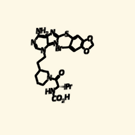 CC(C)[C@H](NC(=O)O)C(=O)N1CCCC(CCn2cnc(N)c3nc(Sc4cc5c(cc4Br)OCO5)nc2-3)C1